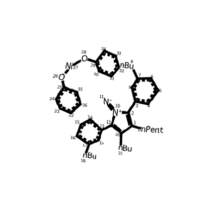 CCCCCC1=C(c2cccc(CCCC)c2)[N+](=[N-])C(c2cccc(CCCC)c2)=C1CCCC.c1ccc([O][Ni][O]c2ccccc2)cc1